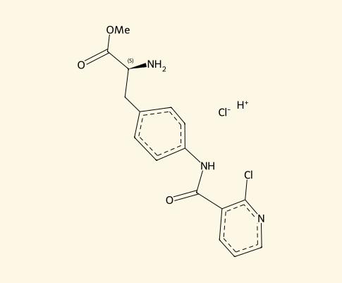 COC(=O)[C@@H](N)Cc1ccc(NC(=O)c2cccnc2Cl)cc1.[Cl-].[H+]